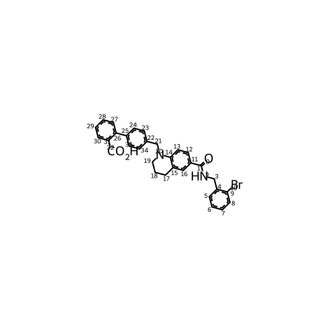 O=C(NCc1ccccc1Br)c1ccc2c(c1)CCCN2Cc1ccc(-c2ccccc2C(=O)O)cc1